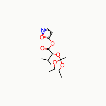 CCOC(C)(OCC)OC(C(=O)Oc1ccno1)C(C)C